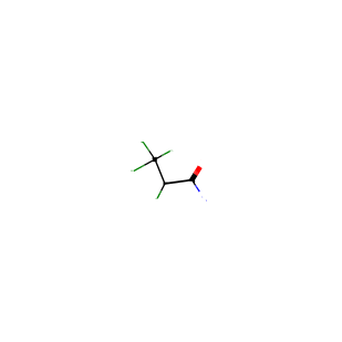 [NH]C(=O)C(Cl)C(Cl)(Cl)Cl